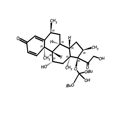 CC(C)COC(O)(OCC(C)C)O[C@]1(C(=O)CO)[C@H](C)C[C@H]2[C@@H]3C[C@H](C)C4=CC(=O)C=C[C@]4(C)[C@@]3(F)[C@@H](O)C[C@@]21C